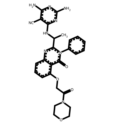 CC(Nc1nc(N)nc(N)c1C#N)c1nc2cccc(OCC(=O)N3CCOCC3)c2c(=O)n1-c1ccccc1